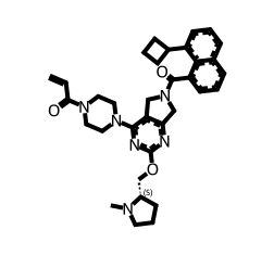 C=CC(=O)N1CCN(c2nc(OC[C@@H]3CCCN3C)nc3c2CN(C(=O)c2cccc4cccc(C5CCC5)c24)C3)CC1